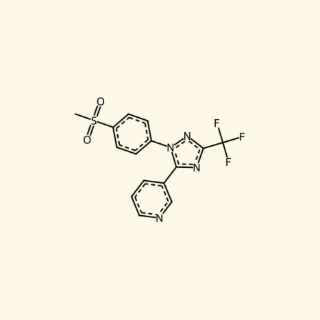 CS(=O)(=O)c1ccc(-n2nc(C(F)(F)F)nc2-c2cccnc2)cc1